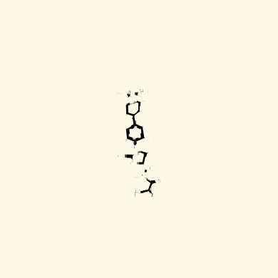 O=C1O[C@@H](CNC(=S)C(F)F)CN1c1ccc(C2CCS(O)(O)CC2)cc1